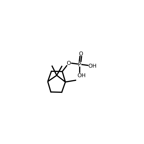 CC1(C)C2CCC1(C)C(OP(=O)(O)O)C2